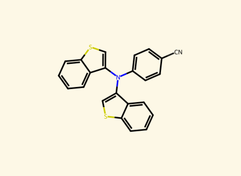 N#Cc1ccc(N(c2csc3ccccc23)c2csc3ccccc23)cc1